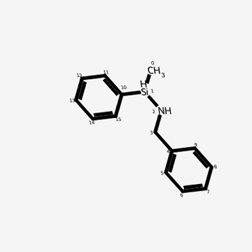 C[SiH](NCc1ccccc1)c1ccccc1